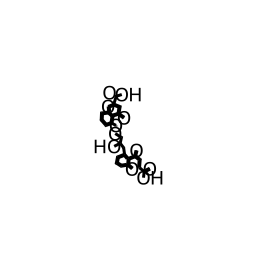 O=C(O)c1cc(=O)c2c(CC(O)COOc3cccc4oc(C(=O)O)cc(=O)c34)cccc2o1